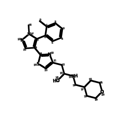 Cc1ccccc1-c1c(-c2nc(CC(O)NCC3CCOCC3)cs2)cnn1C